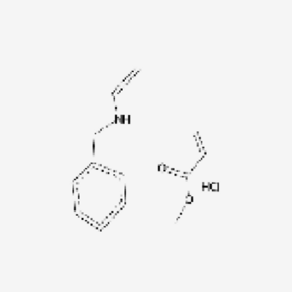 C=CC(=O)OC.C=CNCc1ccccc1.Cl